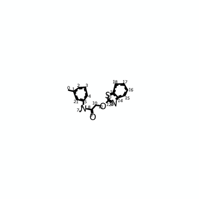 Cc1cccc(N(C)C(=O)COc2nc3ccccc3s2)c1